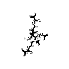 C=C(C)O[Si](OC(=C)C)(OC(=C)C)C(OCCOC(=O)C(=C)C)C(C)([SiH3])OCCOC(=O)C(=C)C